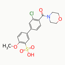 COc1ccc(-c2ccc(C(=O)N3CCOCC3)c(Cl)c2)cc1S(=O)(=O)O